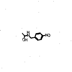 CC(O)NCc1ccc(N=O)cc1